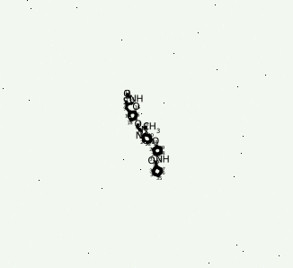 Cn1c(COc2ccc(CC3SC(=O)NC3=O)cc2)nc2ccc(Oc3ccc(NC(=O)c4ccccc4)cc3)cc21